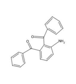 Nc1cccc(C(=O)c2ccccc2)c1C(=O)c1ccccc1